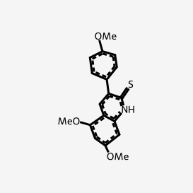 COc1ccc(-c2cc3c(OC)cc(OC)cc3[nH]c2=S)cc1